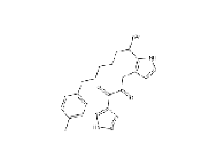 CCCC(CCCCCc1ccc(F)cc1)c1[nH]ccc1CC(=O)C(=O)c1nn[nH]n1